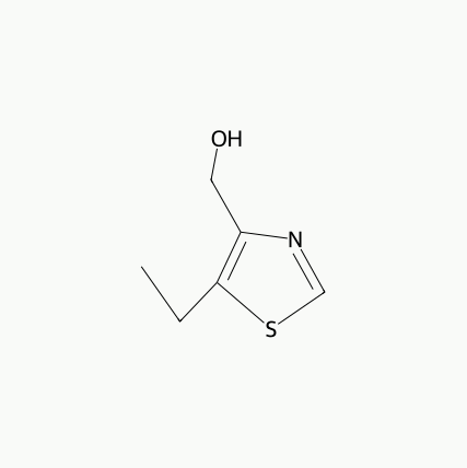 CCc1scnc1CO